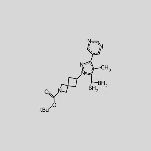 BC(B)c1c(C)c(-c2cncnc2)nn1C1CC2(C1)CN(C(=O)OC(C)(C)C)C2